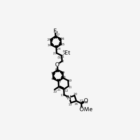 CC[C@H](COc1ccc2c(c1)CCC(CN1CC(C(=O)OC)C1)=C2C)Cc1ccc(F)cc1